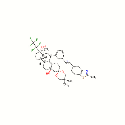 Cc1nc2cc(/C=C/c3cccc([C@H]4C[C@@]5(C)[C@@H](CC[C@@]5(O)C(F)(F)C(F)(F)F)[C@@H]5CC[C@@]6(O)CC7(CCC6=C54)OCC(C)(C)CO7)c3)ccc2s1